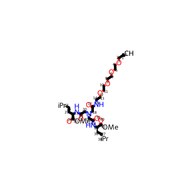 C#CCOCCOCCOCCOCCNC(=O)CN(CC(=O)NC(CCC(C)C)C(=O)OC)CC(=O)N[C@H](CCC(C)C)C(=O)OC